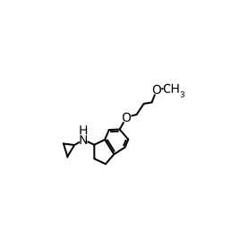 COCCCOc1ccc2c(c1)C(NC1CC1)CC2